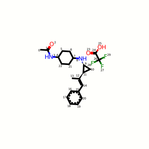 CC(=O)NC1CCC(N[C@@H]2C[C@H]2/C(C)=C/c2ccccc2)CC1.O=C(O)C(F)(F)F